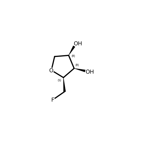 O[C@@H]1[C@H](O)CO[C@@H]1CF